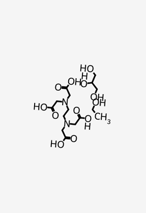 CCO.O=C(O)CN(CCN(CC(=O)O)CC(=O)O)CC(=O)O.OCC(O)CO